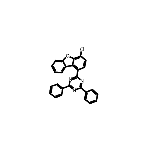 Clc1ccc(-c2nc(-c3ccccc3)nc(-c3ccccc3)n2)c2c1oc1ccccc12